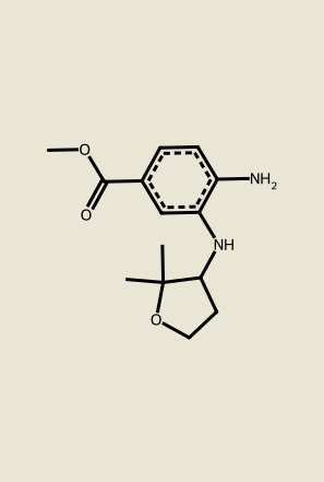 COC(=O)c1ccc(N)c(NC2CCOC2(C)C)c1